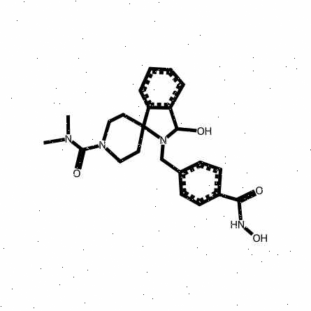 CN(C)C(=O)N1CCC2(CC1)c1ccccc1C(O)N2Cc1ccc(C(=O)NO)cc1